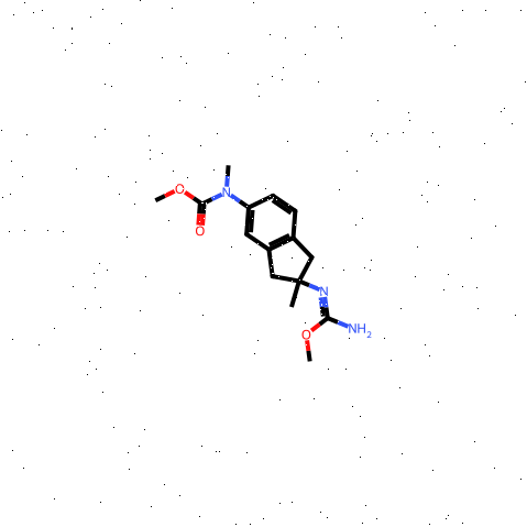 COC(=O)N(C)c1ccc2c(c1)CC(C)(/N=C(/N)OC)C2